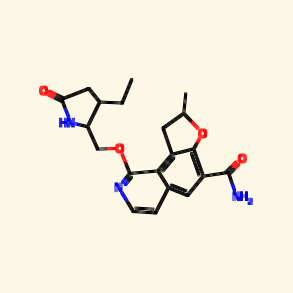 CCC1CC(=O)NC1COc1nccc2cc(C(N)=O)c3c(c12)CC(C)O3